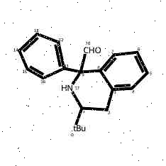 CC(C)(C)C1Cc2ccccc2C(C=O)(c2ccccc2)N1